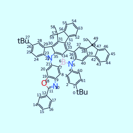 CC(C)(C)c1ccc(N2B3c4cc5nc(-c6ccccc6)oc5cc4-n4c5ccc(C(C)(C)C)cc5c5c6c(c(c3c54)-c3cc4c(cc32)-c2ccccc2C4(C)C)-c2ccccc2C6(C)C)cc1